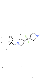 CC(C)CC1(CN2CCC(C(F)(F)C3CCN(C)CC3)CC2)CC1